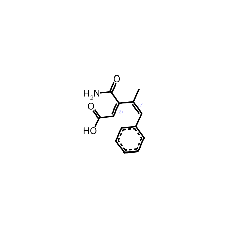 CC(=C/c1ccccc1)/C(=C/C(=O)O)C(N)=O